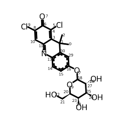 CC1(C)C2=C(Cl)C(=O)C(Cl)=CC2=Nc2ccc(OC3O[C@H](CO)[C@H](O)[C@H](O)[C@H]3O)cc21